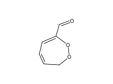 O=[C]C1=CC=CCOO1